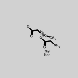 CO.NCC(=O)[O-].NCC(=O)[O-].[Na+].[Na+]